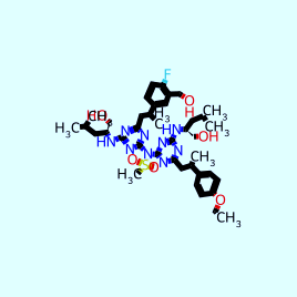 CCOc1ccc(C(C)Cc2nc(N[C@@H](CO)CC(C)C)nc(N(c3nc(CC(C)c4ccc(F)c(CO)c4)nc(N[C@@H](CO)CC(C)C)n3)S(C)(=O)=O)n2)cc1